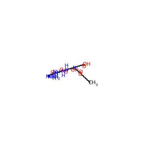 CCCCCCCCCCCOC(=O)CCCCCN(CCCCCCCC(=O)O)C[C@H](O)CCCCNC(=O)CNC(=O)CCCCNC(=N)NC(=O)C(N)Cc1cnc[nH]1